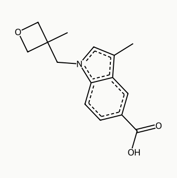 Cc1cn(CC2(C)COC2)c2ccc(C(=O)O)cc12